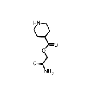 NC(=O)COC(=O)C1CCNCC1